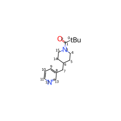 CC(C)(C)C(=O)N1CCC(Cc2cccnc2)CC1